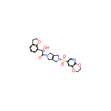 O=C([C@H](O)c1cccc2c1OCC2)N1CC2=C(C1)CN(S(=O)(=O)c1cnc3c(c1)OCCO3)C2